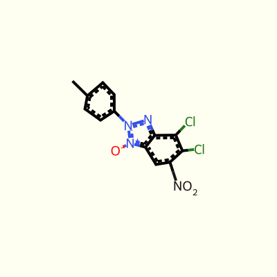 Cc1ccc(-n2nc3c(Cl)c(Cl)c([N+](=O)[O-])cc3[n+]2[O-])cc1